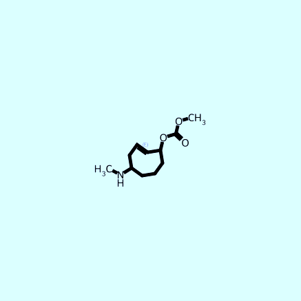 CNC1C/C=C/C(OC(=O)OC)CCC1